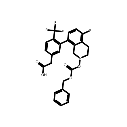 O=C(O)Cc1ccc(C(F)(F)F)c(-c2ccc(F)c3c2CN(OC(=O)OCc2ccccc2)CC3)c1